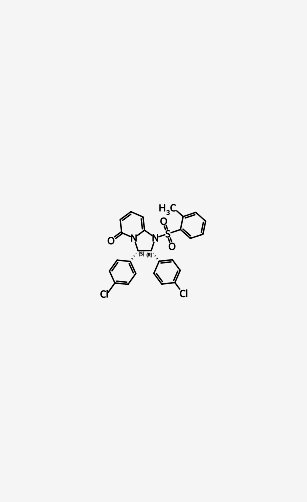 Cc1ccccc1S(=O)(=O)N1c2cccc(=O)n2[C@@H](c2ccc(Cl)cc2)[C@H]1c1ccc(Cl)cc1